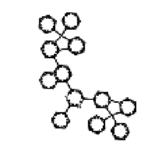 c1ccc(-c2nc(-c3ccc4c(c3)C(c3ccccc3)(c3ccccc3)c3ccccc3-4)cc(-c3ccc(-c4cccc5c4-c4ccccc4C5(c4ccccc4)c4ccccc4)c4ccccc34)n2)cc1